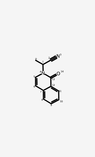 CC(C#N)n1ccc2ccccc2c1=O